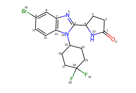 O=C1CCC(c2nc3cc(Br)ccc3n2C2CCC(F)(F)CC2)N1